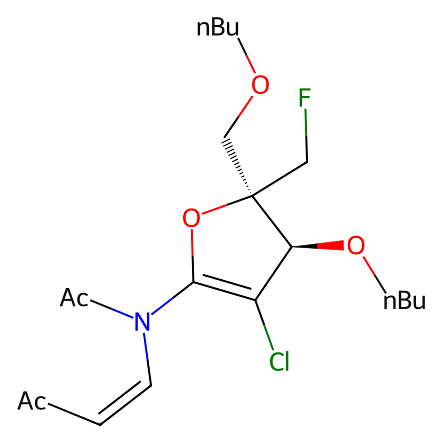 CCCCOC[C@@]1(CF)OC(N(/C=C\C(C)=O)C(C)=O)=C(Cl)[C@@H]1OCCCC